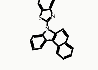 c1ccc2c(c1)ccc1c2c2ccccc2n1-c1nc2ccccc2s1